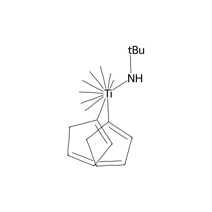 CC(C)(C)[NH][Ti]([CH3])([CH3])([CH3])([CH3])([CH3])([CH3])([CH3])([CH3])([C]1=CC=CC1)[C]1=CC=CC1